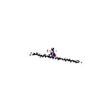 CCCCCCCCCCCCCCCCCCN(CCCCCCCCCCCCCCCCCC)CCCN(CC(C)O)CC(C)O